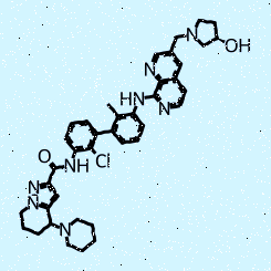 Cc1c(Nc2nccc3cc(CN4CC[C@@H](O)C4)cnc23)cccc1-c1cccc(NC(=O)c2cc3n(n2)CCCC3N2CCCCC2)c1Cl